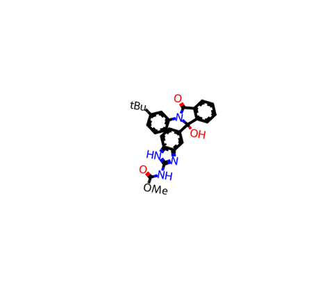 COC(=O)Nc1nc2cc(C3(O)c4ccccc4C(=O)N3c3cccc(C(C)(C)C)c3)ccc2[nH]1